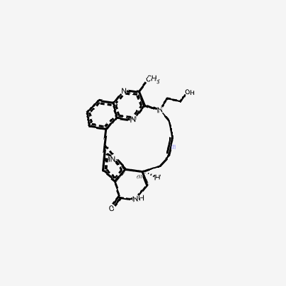 Cc1nc2cccc3c2nc1N(CCO)C/C=C\C[C@H]1CNC(=O)c2cc-3[nH]c21